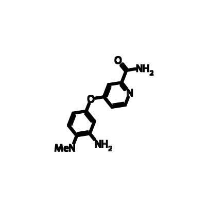 CNc1ccc(Oc2ccnc(C(N)=O)c2)cc1N